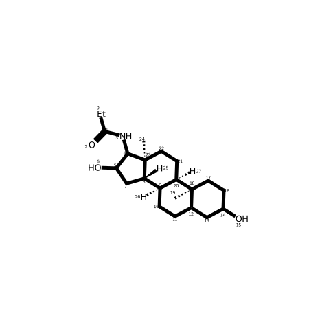 CCC(=O)NC1C(O)C[C@H]2[C@@H]3CCC4CC(O)CC[C@]4(C)[C@@H]3CC[C@]12C